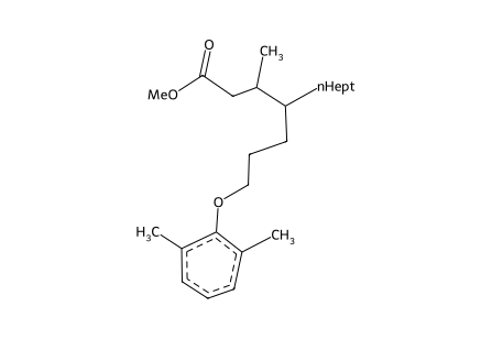 CCCCCCCC(CCCOc1c(C)cccc1C)C(C)CC(=O)OC